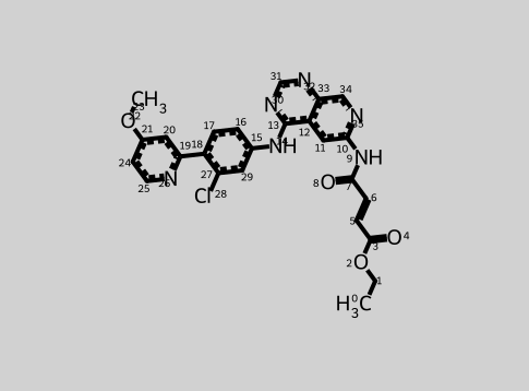 CCOC(=O)C=CC(=O)Nc1cc2c(Nc3ccc(-c4cc(OC)ccn4)c(Cl)c3)ncnc2cn1